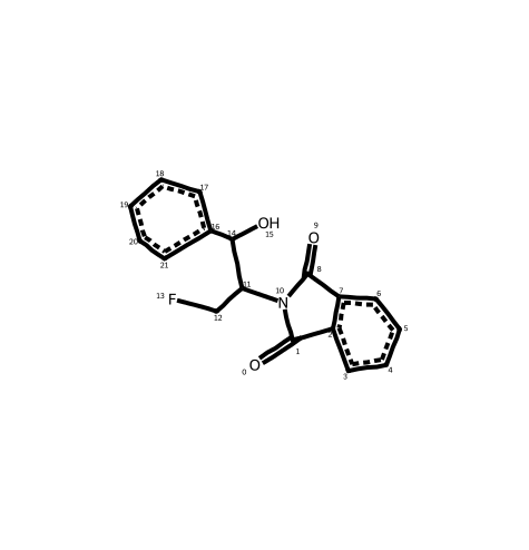 O=C1c2ccccc2C(=O)N1C(CF)C(O)c1ccccc1